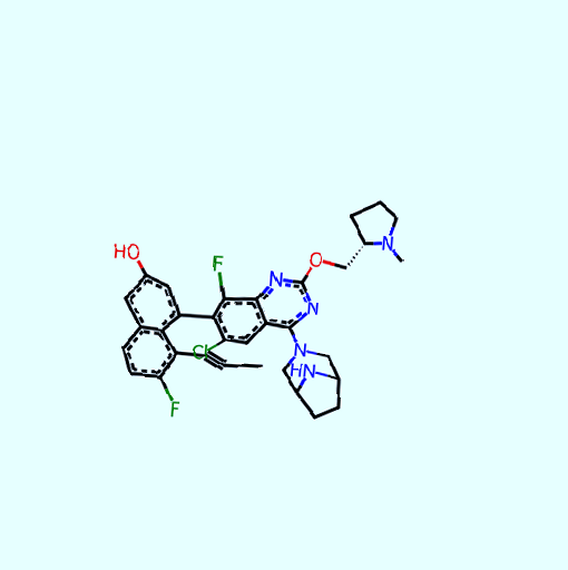 CC#Cc1c(F)ccc2cc(O)cc(-c3c(Cl)cc4c(N5CC6CCC(C5)N6)nc(OC[C@@H]5CCCN5C)nc4c3F)c12